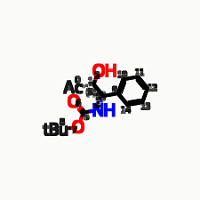 CC(=O)[C@H](O)[C@@H](NC(=O)OC(C)(C)C)c1ccccc1